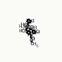 CCOC(=O)COc1ccc(C[C@@H](C)N(C[C@@H](O)c2cccc(Cl)c2)C[C@@H](O)c2cccc(Cl)c2)cc1.Cl